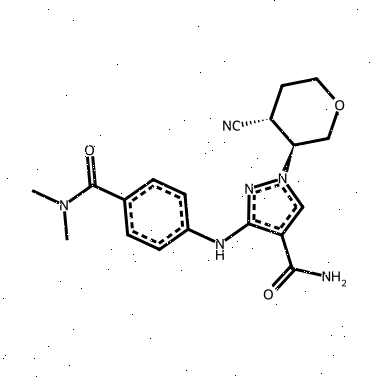 CN(C)C(=O)c1ccc(Nc2nn([C@@H]3COCC[C@H]3C#N)cc2C(N)=O)cc1